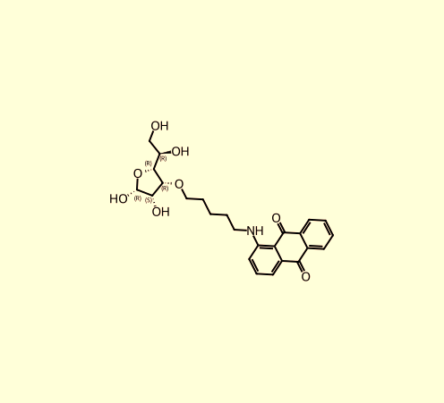 O=C1c2ccccc2C(=O)c2c(NCCCCCO[C@@H]3[C@H](O)[C@H](O)O[C@@H]3[C@H](O)CO)cccc21